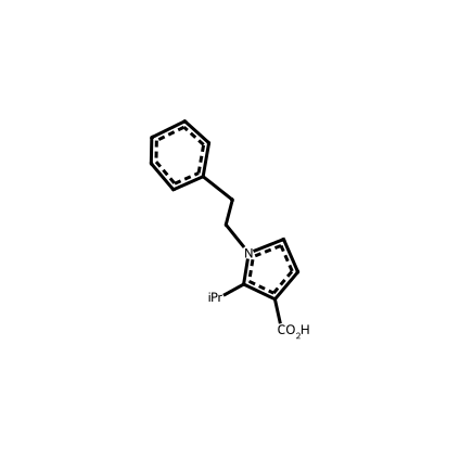 CC(C)c1c(C(=O)O)ccn1CCc1ccccc1